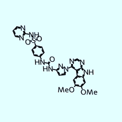 COc1cc2[nH]c3ncnc(-n4ccc(NC(=O)Nc5ccc(S(=O)(=O)Nc6ncccn6)cc5)n4)c3c2cc1OC